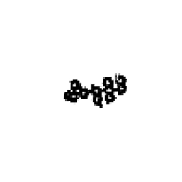 Cc1ccc2c(-c3ccc4c(c3)-c3ccccc3C43C4CC5CC(C4)CC3C5)c(C)cc(-c3c4ccccc4c(-c4cccc5ccncc45)c4ccccc34)c2c1